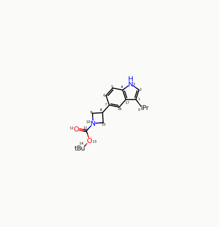 CC(C)c1c[nH]c2ccc(C3CN(C(=O)OC(C)(C)C)C3)cc12